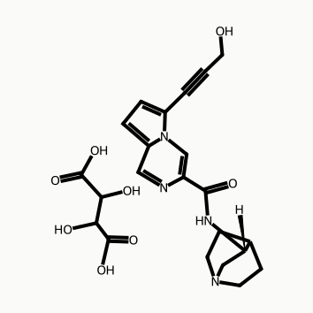 O=C(N[C@H]1CN2CCC1CC2)c1cn2c(C#CCO)ccc2cn1.O=C(O)C(O)C(O)C(=O)O